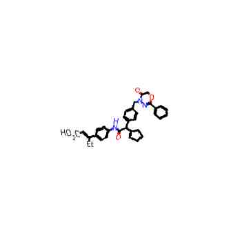 CC/C(=C\C(=O)O)c1ccc(NC(=O)C(c2ccc(CN3N=C(c4ccccc4)OCC3=O)cc2)C2CCCC2)cc1